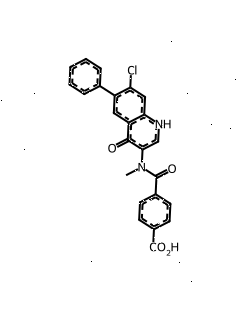 CN(C(=O)c1ccc(C(=O)O)cc1)c1c[nH]c2cc(Cl)c(-c3ccccc3)cc2c1=O